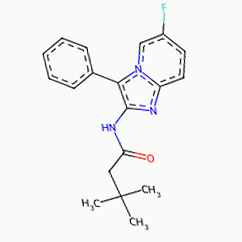 CC(C)(C)CC(=O)Nc1nc2ccc(F)cn2c1-c1ccccc1